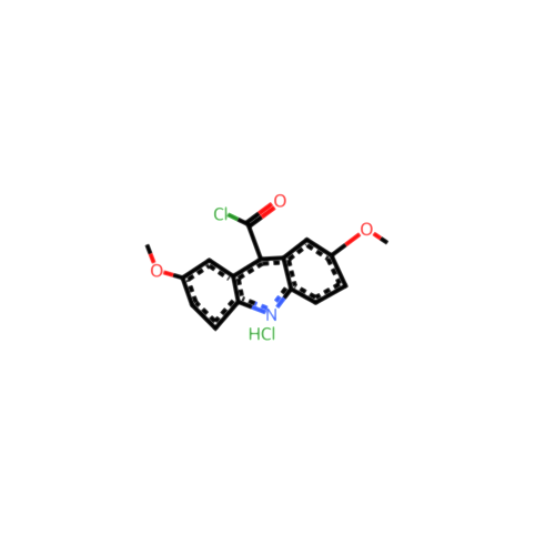 COc1ccc2nc3ccc(OC)cc3c(C(=O)Cl)c2c1.Cl